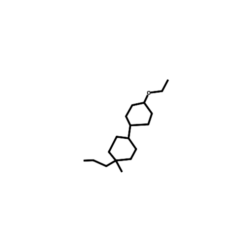 CCCC1(C)CCC(C2CCC(OCC)CC2)CC1